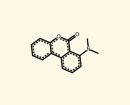 CN(C)c1cccc2c1c(=O)oc1ccccc12